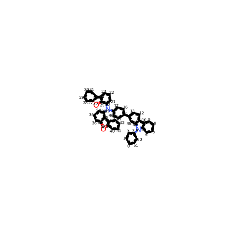 c1ccc(-n2c3ccccc3c3ccc(-c4ccc(N(c5cccc6c5oc5ccccc56)c5cccc6oc7ccccc7c56)cc4)cc32)cc1